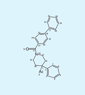 CC(=O)C1(c2ccccc2)CCN(C(=O)c2ccc(-c3ccccc3)cc2)CC1